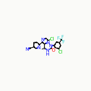 C[C@H](Nc1nc2cc(C(F)(F)F)cc(Cl)c2o1)c1nc(Cl)cnc1-c1ccc(C#N)cn1